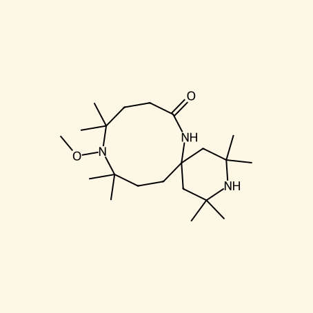 CON1C(C)(C)CCC(=O)NC2(CCC1(C)C)CC(C)(C)NC(C)(C)C2